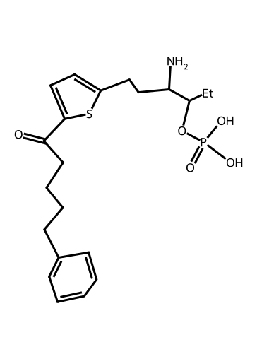 CCC(OP(=O)(O)O)C(N)CCc1ccc(C(=O)CCCCc2ccccc2)s1